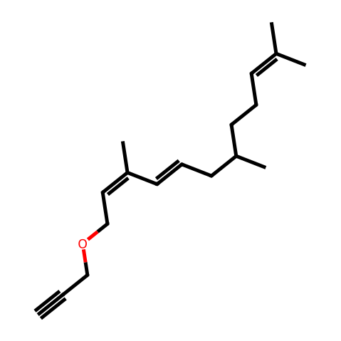 C#CCOCC=C(C)C=CCC(C)CCC=C(C)C